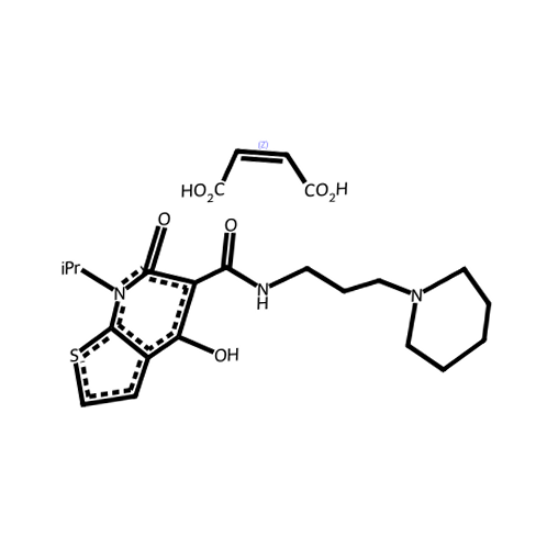 CC(C)n1c(=O)c(C(=O)NCCCN2CCCCC2)c(O)c2ccsc21.O=C(O)/C=C\C(=O)O